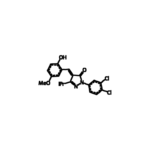 COc1ccc(O)c(C=C2C(=O)N(c3ccc(Cl)c(Cl)c3)N=C2C(C)C)c1